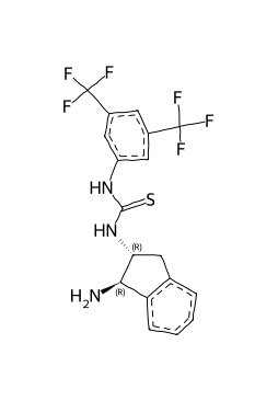 N[C@@H]1c2ccccc2C[C@H]1NC(=S)Nc1cc(C(F)(F)F)cc(C(F)(F)F)c1